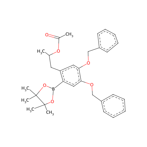 CC(=O)OC(C)Cc1cc(OCc2ccccc2)c(OCc2ccccc2)cc1B1OC(C)(C)C(C)(C)O1